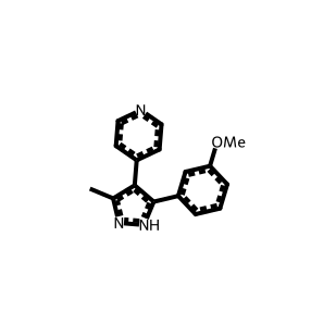 COc1cccc(-c2[nH]nc(C)c2-c2ccncc2)c1